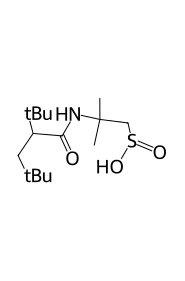 CC(C)(C)CC(C(=O)NC(C)(C)CS(=O)O)C(C)(C)C